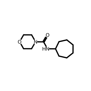 O=C(NC1CCCCCC1)N1CCOCC1